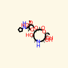 CC[C@@H]1OC(=O)[C@H](C)[C@H](OC2C[C@@](C)(OC)[C@](O)(CNC3CCCC3)[C@H](C)O2)[C@@H](C)C[C@](C)(O)C[C@@H](C)NC[C@@H](C)[C@H](O)[C@]1(C)O